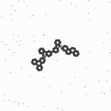 c1ccc2c(c1)ccc1c3ccc(-n4c5ccccc5c5cc(-c6ccc7c(c6)c6ccccc6n7-c6ccc7c8ccccc8c8ccccc8c7c6)ccc54)cc3ccc21